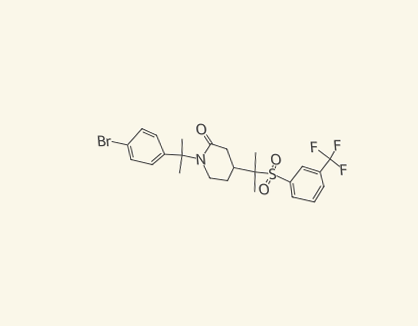 CC(C)(c1ccc(Br)cc1)N1CCC(C(C)(C)S(=O)(=O)c2cccc(C(F)(F)F)c2)CC1=O